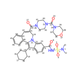 CN(C)S(=O)(=O)NC(=O)c1ccc2c(C3CCCCC3)c3n(c2c1)CC(C(=O)N1CCN(C(=O)N2CCOCC2)CC1)=Cc1ccccc1-3